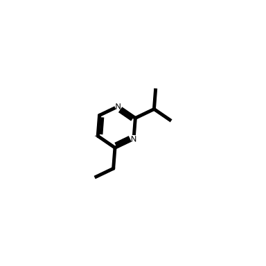 CCc1[c]cnc(C(C)C)n1